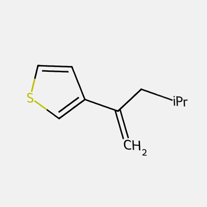 C=C(CC(C)C)c1ccsc1